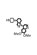 COc1cc2nncc(-n3ncc4c(N5CCNCC5)cccc43)c2cc1OC